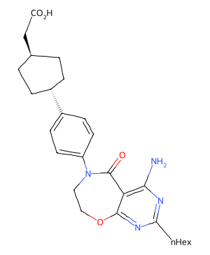 CCCCCCc1nc(N)c2c(n1)OCCN(c1ccc([C@H]3CC[C@H](CC(=O)O)CC3)cc1)C2=O